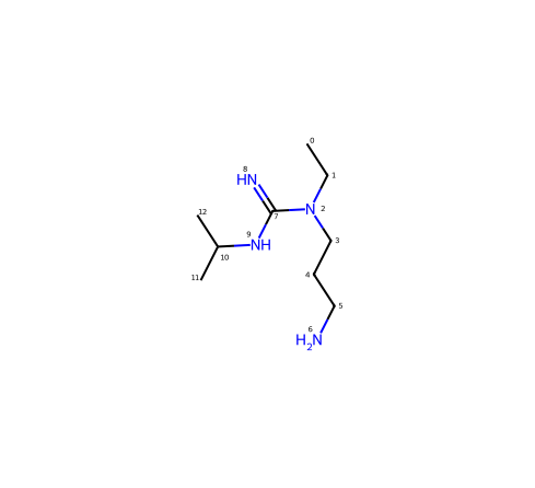 CCN(CCCN)C(=N)NC(C)C